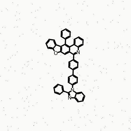 c1ccc(-c2c3c(cc4c(-c5ccc(-c6ccc(-n7c(-c8ccccc8)nc8ccccc87)cc6)cc5)nc5ccccc5c24)oc2ccccc23)cc1